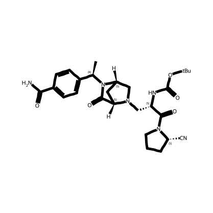 C[C@H](c1ccc(C(N)=O)cc1)N1C(=O)[C@@H]2C[C@H]1CN2C[C@H](NC(=O)OC(C)(C)C)C(=O)N1CCC[C@H]1C#N